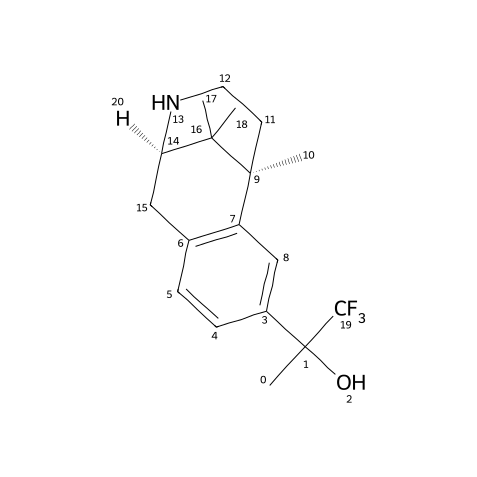 CC(O)(c1ccc2c(c1)[C@]1(C)CCN[C@H](C2)C1(C)C)C(F)(F)F